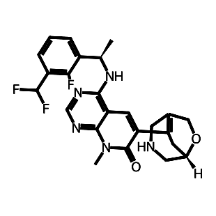 C[C@@H](Nc1ncnc2c1cc(C1=C3CNC[C@H](C1)OC3)c(=O)n2C)c1cccc(C(F)F)c1F